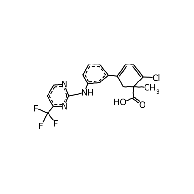 CC1(C(=O)O)CC(c2cccc(Nc3nccc(C(F)(F)F)n3)c2)=CC=C1Cl